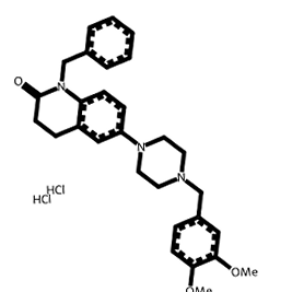 COc1ccc(CN2CCN(c3ccc4c(c3)CCC(=O)N4Cc3ccccc3)CC2)cc1OC.Cl.Cl